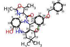 CC1=NC(C(=O)N2c3cccc(O)c3NC3=C(C(=O)CC(C)(C)C3)C2c2ccc(OCc3ccccc3)cc2F)C(C)O1